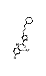 O=C(Nc1ccc(Br)cc1C(=O)O)c1cc(CCCC2CCCCC2)on1